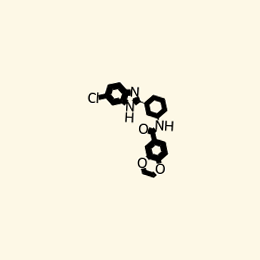 O=C(N[C@H]1CCC[C@@H](c2nc3ccc(Cl)cc3[nH]2)C1)c1ccc2c(c1)OCCO2